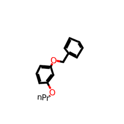 CCCOc1cccc(OCc2ccccc2)c1